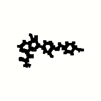 Cc1cc(C(=O)NC(C)c2ccnc(NC(=O)C(C)C)c2)cnc1OCc1ccc(F)cc1